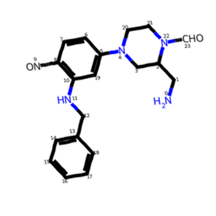 NCC1CN(c2ccc(N=O)c(NCc3ccccc3)c2)CCN1C=O